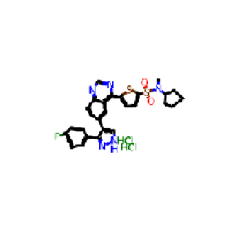 CN(C1CCCC1)S(=O)(=O)c1ccc(-c2ncnc3ccc(-c4c[nH]nc4-c4ccc(F)cc4)cc23)s1.Cl.Cl